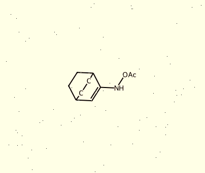 CC(=O)ONC1=CC2CCC1CC2